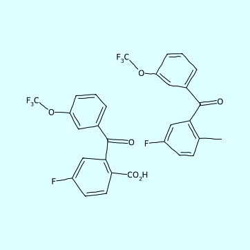 Cc1ccc(F)cc1C(=O)c1cccc(OC(F)(F)F)c1.O=C(O)c1ccc(F)cc1C(=O)c1cccc(OC(F)(F)F)c1